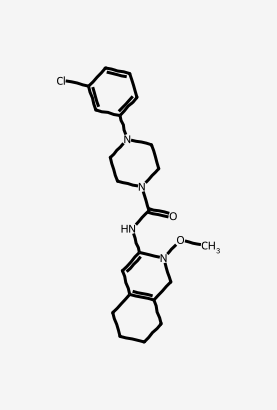 CON1CC2=C(C=C1NC(=O)N1CCN(c3cccc(Cl)c3)CC1)CCCC2